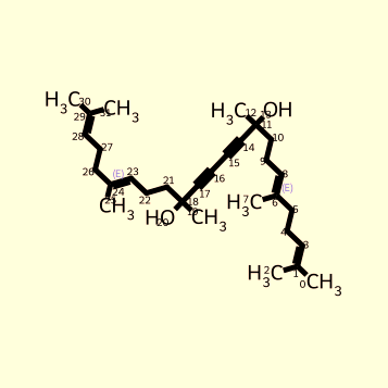 CC(C)=CCC/C(C)=C/CCC(C)(O)C#CC#CC(C)(O)CC/C=C(\C)CCC=C(C)C